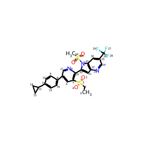 CCS(=O)(=O)c1cc(-c2ccc(C3CC3)cc2)cnc1-c1cc2ncc(C(F)(F)F)cc2n1S(C)(=O)=O